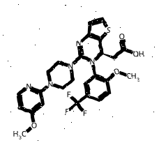 COc1ccnc(N2CCN(C3=Nc4ccsc4[C@@H](CC(=O)O)N3c3cc(C(F)(F)F)ccc3OC)CC2)c1